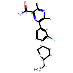 Cc1nc(C)c(-c2ccc([C@H]3CC[C@H](CC(=O)O)CC3)c(F)c2)nc1C(N)=O